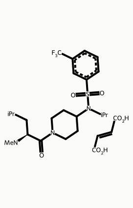 CN[C@@H](CC(C)C)C(=O)N1CCC(N(C(C)C)S(=O)(=O)c2cccc(C(F)(F)F)c2)CC1.O=C(O)C=CC(=O)O